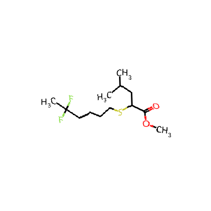 COC(=O)C(CC(C)C)SCCCCC(C)(F)F